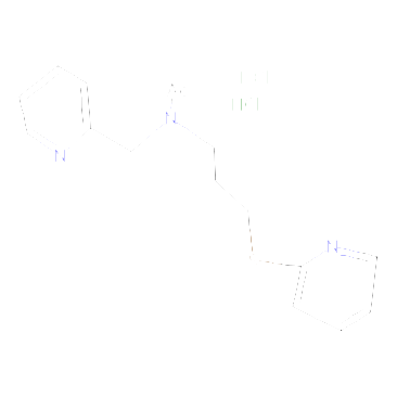 CC(=O)N(CCCSc1ccccn1)Cc1ccccn1.Cl.Cl